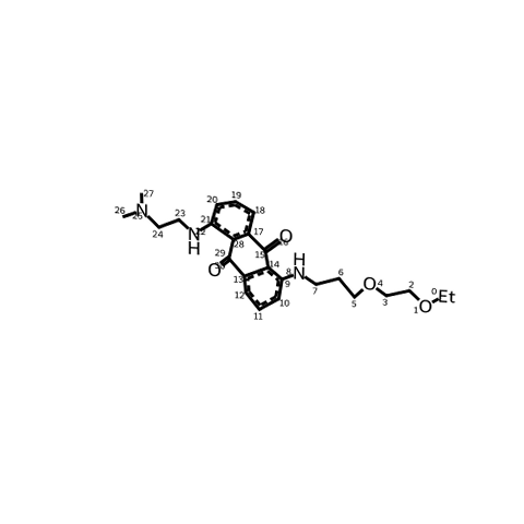 CCOCCOCCCNc1cccc2c1C(=O)c1cccc(NCCN(C)C)c1C2=O